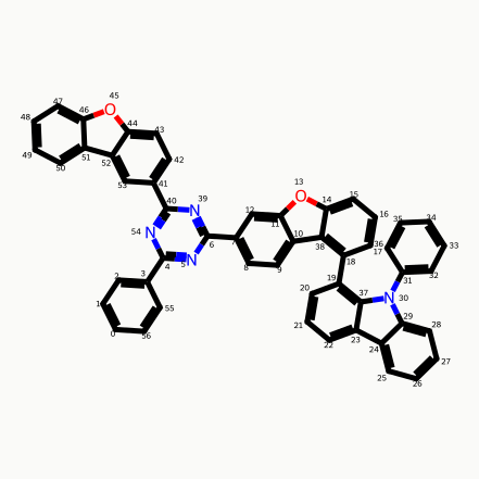 c1ccc(-c2nc(-c3ccc4c(c3)oc3cccc(-c5cccc6c7ccccc7n(-c7ccccc7)c56)c34)nc(-c3ccc4oc5ccccc5c4c3)n2)cc1